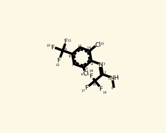 CN/C(=N/c1c(Cl)cc(C(F)(F)F)cc1Cl)C(F)(F)F